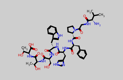 CC(C)[C@H](N)C(=O)NCC(=O)N1CCC[C@H]1C(=O)N[C@@H](Cc1ccccc1)C(=O)N[C@@H](Cc1c[nH]cn1)C(=O)N[C@@H](Cc1c[nH]c2ccccc12)C(=O)N[C@@H](CO)C(=O)N[C@H](C(=O)N[C@H](C(=O)O)[C@@H](C)O)[C@@H](C)O